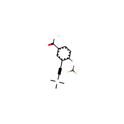 COC(=O)c1ccc(OC(F)F)c(C#C[Si](C)(C)C)c1